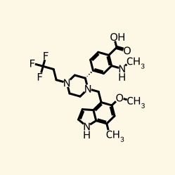 CNc1cc([C@H]2CN(CCC(F)(F)F)CCN2Cc2c(OC)cc(C)c3[nH]ccc23)ccc1C(=O)O